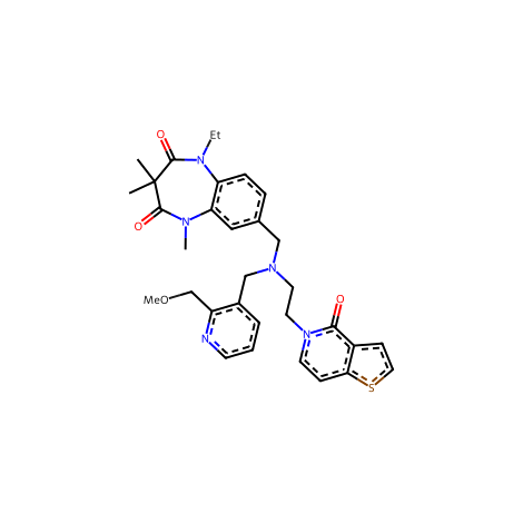 CCN1C(=O)C(C)(C)C(=O)N(C)c2cc(CN(CCn3ccc4sccc4c3=O)Cc3cccnc3COC)ccc21